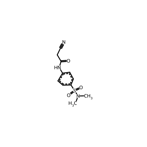 CN(C)S(=O)(=O)c1ccc(NC(=O)CC#N)cc1